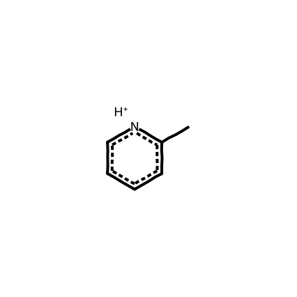 Cc1ccccn1.[H+]